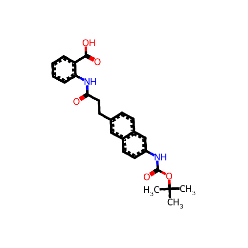 CC(C)(C)OC(=O)Nc1ccc2cc(CCC(=O)Nc3ccccc3C(=O)O)ccc2c1